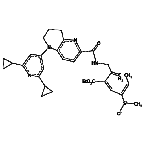 C=C(CNC(=O)c1ccc2c(n1)CCCN2c1cc(C2CC2)nc(C2CC2)c1)/C(=C\C(=C/C)[S+](C)[O-])C(=O)OCC